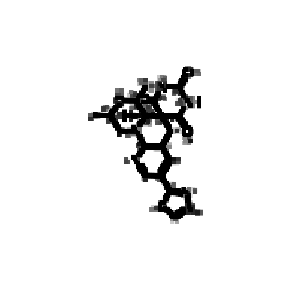 C[C@@H]1CN2c3ncc(-c4nncs4)cc3CC3(C(=O)NC(=O)NC3=O)[C@H]2[C@H](C)O1